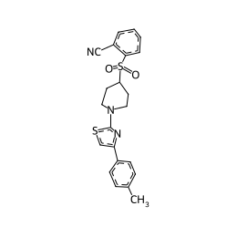 Cc1ccc(-c2csc(N3CCC(S(=O)(=O)c4ccccc4C#N)CC3)n2)cc1